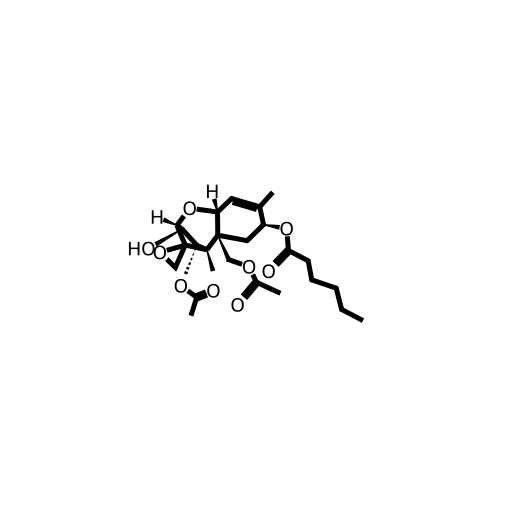 CCCCCC(=O)O[C@H]1C[C@@]2(COC(C)=O)[C@@H](C=C1C)O[C@@H]1[C@H](O)[C@@H](OC(C)=O)[C@@]2(C)C12CO2